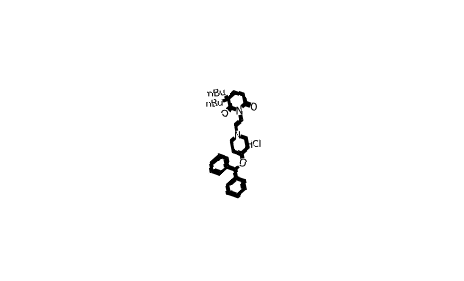 CCCCC1(CCCC)CCC(=O)N(CCN2CCC(OC(c3ccccc3)c3ccccc3)CC2)C1=O.Cl